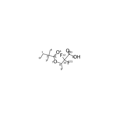 CCC(C)(C)C(=O)OC(C)C(F)(F)C(=O)O